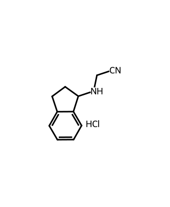 Cl.N#CCNC1CCc2ccccc21